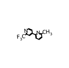 Cc1cccc(-c2ccnc(C(F)(F)F)c2)n1